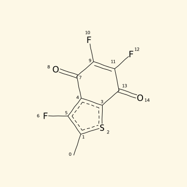 Cc1sc2c(c1F)C(=O)C(F)=C(F)C2=O